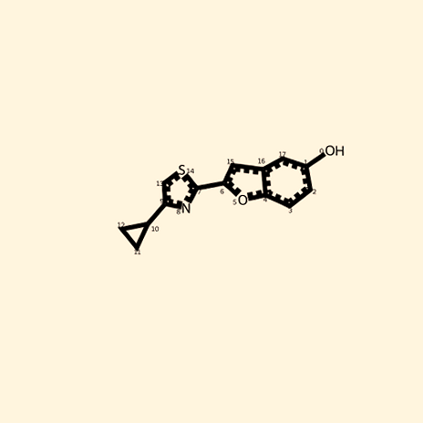 Oc1ccc2oc(-c3nc(C4CC4)cs3)cc2c1